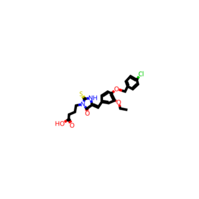 CCOc1cc(/C=C2\NC(=S)N(CCCC(=O)O)C2=O)ccc1OCc1ccc(Cl)cc1